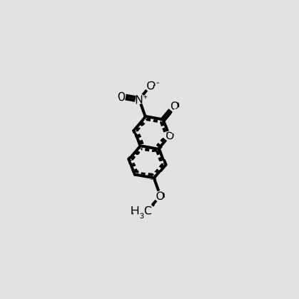 COc1ccc2cc([N+](=O)[O-])c(=O)oc2c1